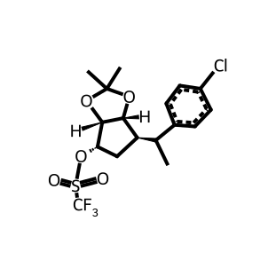 CC(c1ccc(Cl)cc1)[C@H]1C[C@H](OS(=O)(=O)C(F)(F)F)[C@@H]2OC(C)(C)O[C@@H]21